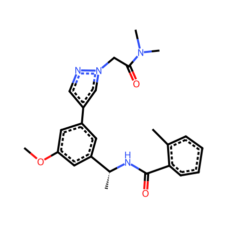 COc1cc(-c2cnn(CC(=O)N(C)C)c2)cc([C@@H](C)NC(=O)c2ccccc2C)c1